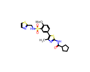 COc1ccc(-c2sc(NC(=O)C3CCCC3)nc2C)cc1S(=O)(=O)NCc1nccs1